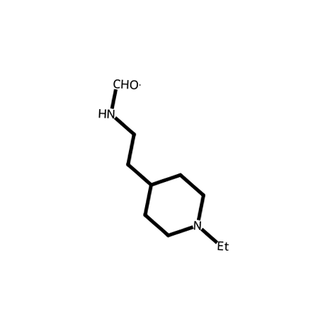 CCN1CCC(CCN[C]=O)CC1